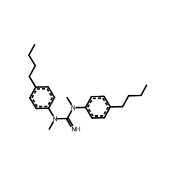 CCCCc1ccc(N(C)C(=N)N(C)c2ccc(CCCC)cc2)cc1